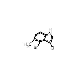 Cc1ccc2[nH]cc(Cl)c2c1Br